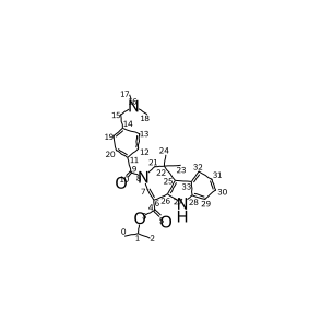 CC(C)OC(=O)C1=CN(C(=O)c2ccc(CN(C)C)cc2)CC(C)(C)c2c1[nH]c1ccccc21